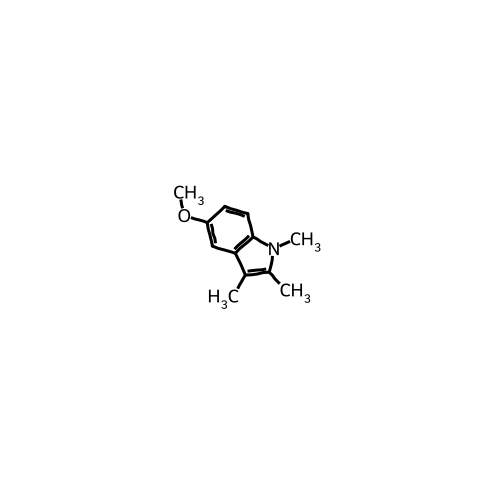 COc1ccc2c(c1)c(C)c(C)n2C